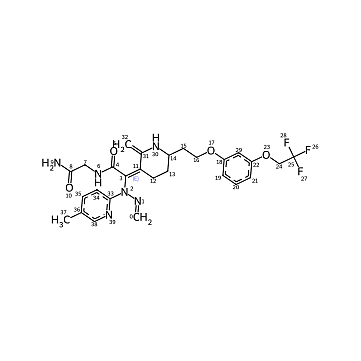 C=NN(/C(C(=O)NCC(N)=O)=C1\CCC(CCOc2cccc(OCC(F)(F)F)c2)NC1=C)c1ccc(C)cn1